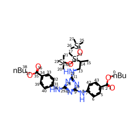 CCCCOC(=O)c1ccc(Nc2nc(NCC(C)[Si](C)(O[Si](C)(C)C)O[Si](C)(C)C)nc(Nc3ccc(C(=O)OCCCC)cc3)n2)cc1